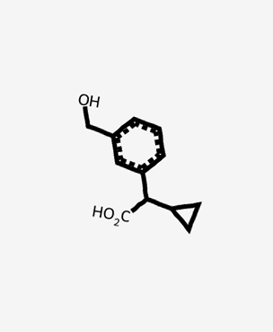 O=C(O)C(c1cccc(CO)c1)C1CC1